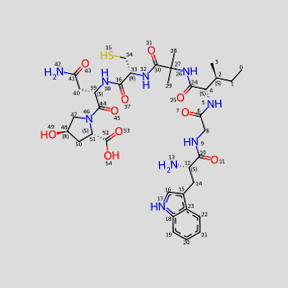 CC[C@H](C)[C@H](NC(=O)CNC(=O)[C@@H](N)Cc1c[nH]c2ccccc12)C(=O)NC(C)(C)C(=O)N[C@@H](CS)C(=O)N[C@@H](CC(N)=O)C(=O)N1C[C@H](O)C[C@H]1C(=O)O